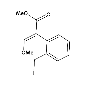 CO/C=C(/C(=O)OC)c1ccccc1CI